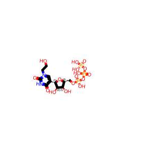 O=c1[nH]c(=O)n(CCO)cc1[C@@H]1O[C@H](COP(=O)(O)OP(=O)(O)OP(=O)(O)O)[C@@H](O)[C@H]1O